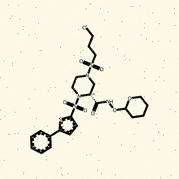 O=C(NOC1CCCCO1)[C@H]1CN(S(=O)(=O)CCCCl)CCN1S(=O)(=O)c1ccc(-c2ccccc2)s1